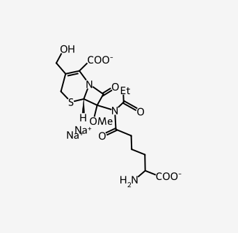 CCC(=O)N(C(=O)CCCC(N)C(=O)[O-])C1(OC)C(=O)N2C(C(=O)[O-])=C(CO)CS[C@H]21.[Na+].[Na+]